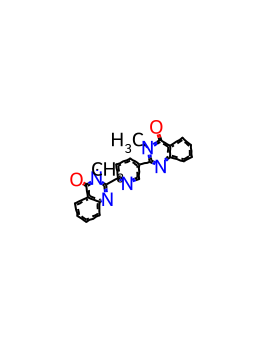 Cn1c(-c2ccc(-c3nc4ccccc4c(=O)n3C)nc2)nc2ccccc2c1=O